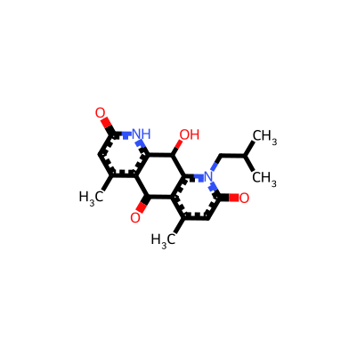 Cc1cc(=O)[nH]c2c1C(=O)c1c(C)cc(=O)n(CC(C)C)c1C2O